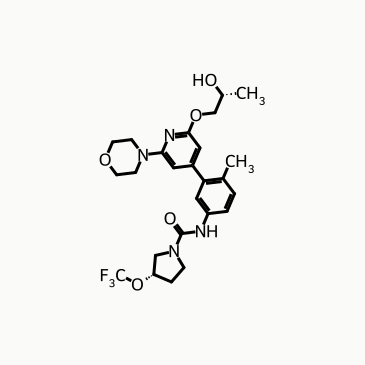 Cc1ccc(NC(=O)N2CC[C@H](OC(F)(F)F)C2)cc1-c1cc(OC[C@@H](C)O)nc(N2CCOCC2)c1